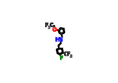 Fc1ccc(CCNCc2cccc(OCC(F)(F)F)c2)cc1C(F)(F)F